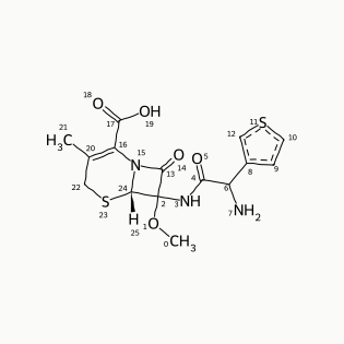 COC1(NC(=O)C(N)c2ccsc2)C(=O)N2C(C(=O)O)=C(C)CS[C@H]21